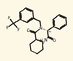 NC(=O)[C@@H](c1ccccc1)N(Cc1cccc(C(F)(F)F)c1)C(=O)C1CCCCC1